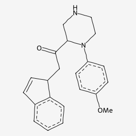 COc1ccc(N2CCNCC2C(=O)CC2C=Cc3ccccc32)cc1